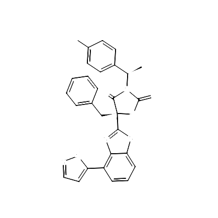 C[C@H](c1ccc(F)cc1)N1C(=O)O[C@](Cc2ccccc2)(c2nc3c(-c4ccn[nH]4)cccc3[nH]2)C1=O